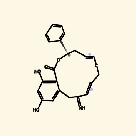 N=C1/C=C/CC/C=C/C[C@@H](c2ccccc2)OC(=O)c2c(O)cc(O)cc2C1